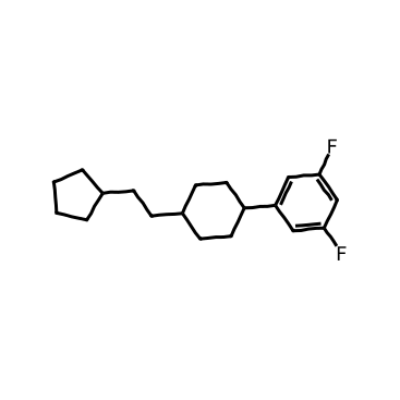 Fc1cc(F)cc(C2CCC(CCC3CCCC3)CC2)c1